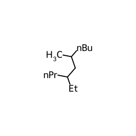 [CH2]CCCC(C)CC(CC)CC[CH2]